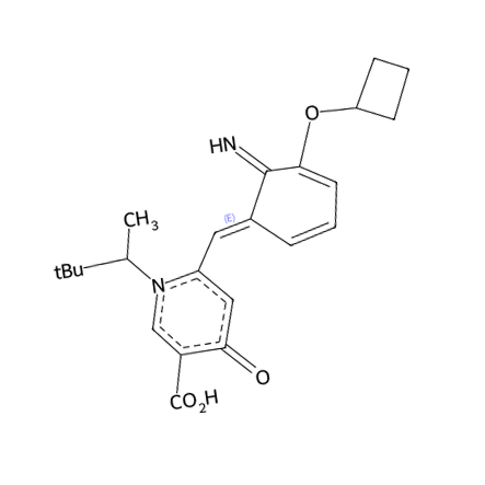 CC(n1cc(C(=O)O)c(=O)cc1/C=C1\C=CC=C(OC2CCC2)C1=N)C(C)(C)C